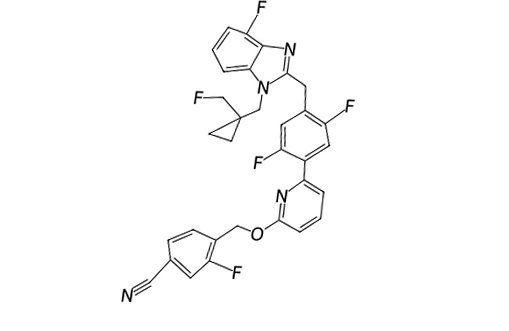 N#Cc1ccc(COc2cccc(-c3cc(F)c(Cc4nc5c(F)cccc5n4CC4(CF)CC4)cc3F)n2)c(F)c1